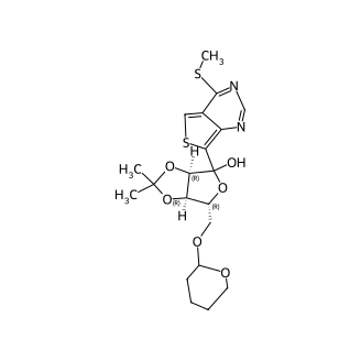 CSc1ncnc2c(C3(O)O[C@H](COC4CCCCO4)[C@H]4OC(C)(C)O[C@H]43)scc12